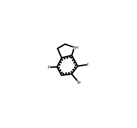 Fc1cc(Br)c(F)c2c1CCN2